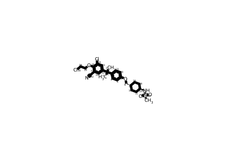 CC(C)(c1ccc(OC[C@H]2CC[C@H](NS(C)(=O)=O)CC2)cc1)c1cc(Cl)c(OCCCl)c(C#N)c1